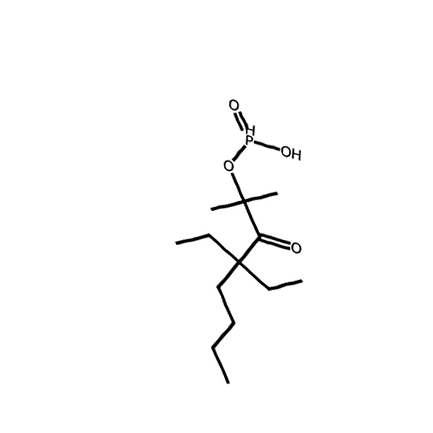 CCCCC(CC)(CC)C(=O)C(C)(C)O[PH](=O)O